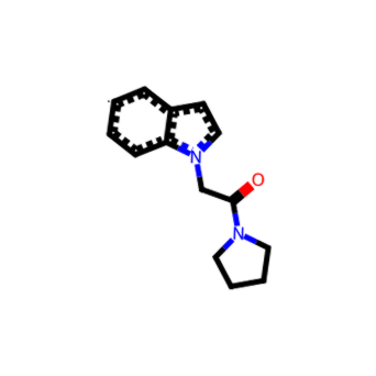 O=C(Cn1ccc2c[c]ccc21)N1CCCC1